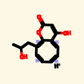 CC(O)CC1=c2\oc(=O)cc(O)\c2=C\C=C/C=C\1.[H+]